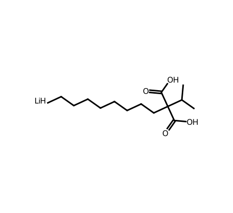 CCCCCCCCCC(C(=O)O)(C(=O)O)C(C)C.[LiH]